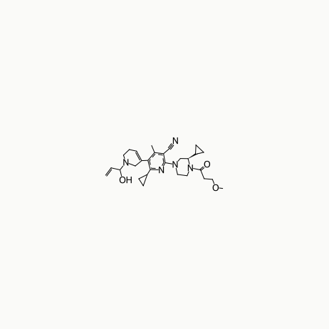 C=CC(O)N1CCC=C(c2c(C3CC3)nc(N3CCN(C(=O)CCOC)[C@H](C4CC4)C3)c(C#N)c2C)C1